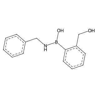 OCc1ccccc1B(O)NCc1ccccc1